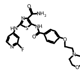 NC(=O)c1nc(Nc2ccnc(F)c2)sc1NC(=O)c1ccc(OCCN2CCOCC2)cc1